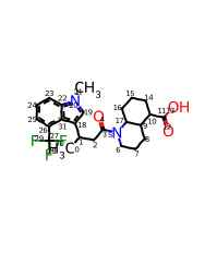 CC(CC(=O)N1CCCC2C(C(=O)O)CCCC21)c1cn(C)c2cccc(C(F)(F)F)c12